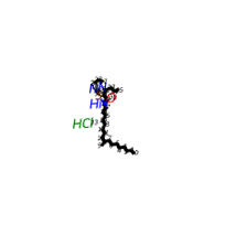 CCCCCCCCC(C)CCCCCC/C=C/NC(=O)C1=C(CCC)N2CCCN=C2S1.Cl